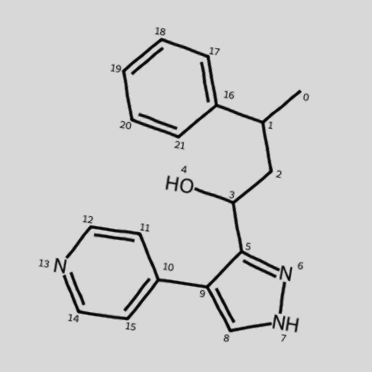 CC(CC(O)c1n[nH]cc1-c1ccncc1)c1ccccc1